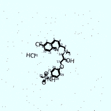 CN(Cc1ccc2cc(Cl)ccc2n1)CC(O)COc1ccc(NS(C)(=O)=O)cc1.Cl